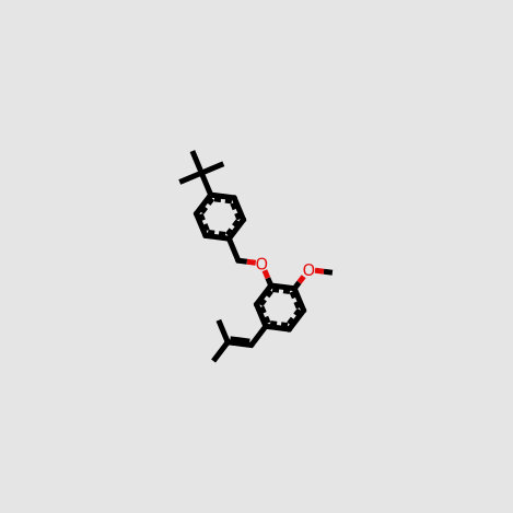 COc1ccc(C=C(C)C)cc1OCc1ccc(C(C)(C)C)cc1